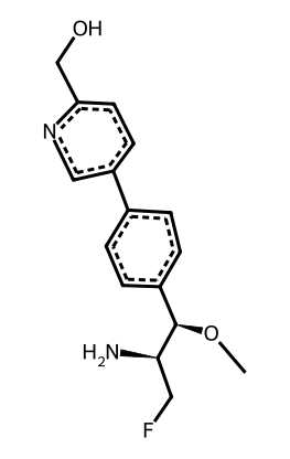 CO[C@H](c1ccc(-c2ccc(CO)nc2)cc1)[C@H](N)CF